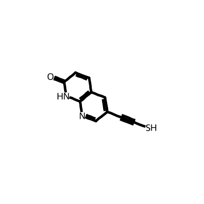 O=c1ccc2cc(C#CS)cnc2[nH]1